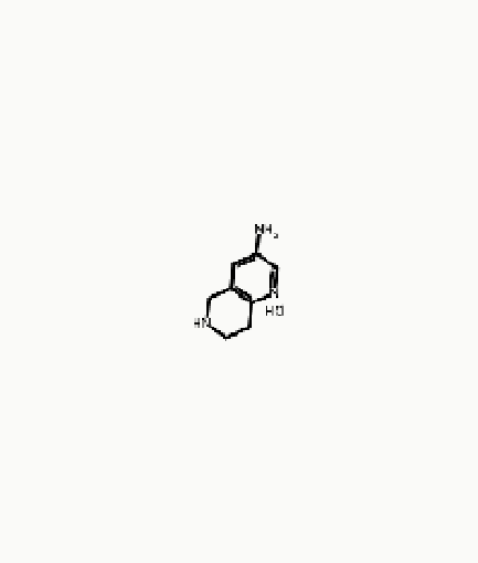 Cl.Nc1cnc2c(c1)CNCC2